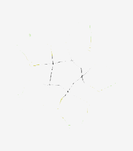 FSC1(SF)C(SF)(SF)C(SF)(SF)C(SF)(SF)C1(SF)SF